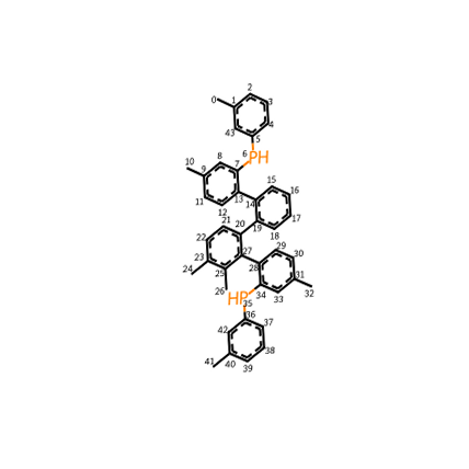 Cc1cccc(Pc2cc(C)ccc2-c2ccccc2-c2ccc(C)c(C)c2-c2ccc(C)cc2Pc2cccc(C)c2)c1